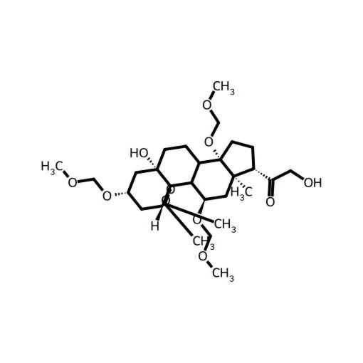 COCO[C@H]1C[C@H]2OC(C)(C)OC[C@]23C2C(CC[C@]3(O)C1)[C@@]1(OCOC)CC[C@H](C(=O)CO)[C@@]1(C)C[C@H]2OCOC